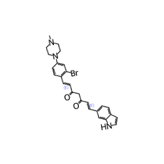 CN1CCN(c2ccc(/C=C/C(=O)CC(=O)/C=C/c3ccc4cc[nH]c4c3)c(Br)c2)CC1